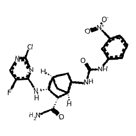 NC(=O)[C@@H]1[C@H](Nc2nc(Cl)ncc2F)[C@H]2CC(NC(=O)Nc3cccc([N+](=O)[O-])c3)[C@@H]1C2